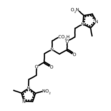 Cc1ncc([N+](=O)[O-])n1CCOC(=O)CN(CC(=O)O)CC(=O)OCCn1c([N+](=O)[O-])cnc1C